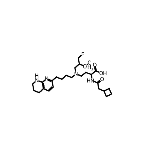 COC(CF)CN(CCCCc1ccc2c(n1)NCCC2)CCC(NC(=O)CC1CCC1)C(=O)O